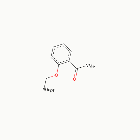 CCCCCCCCOc1ccccc1C(=O)NC